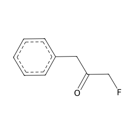 O=C(CF)Cc1ccccc1